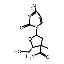 CC1(C(N)=O)CC(n2ccc(N)nc2=O)O[C@@H]1CO